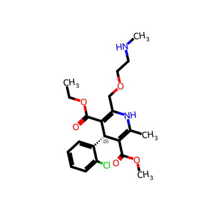 CCOC(=O)C1=C(COCCNC)NC(C)=C(C(=O)OC)[C@@H]1c1ccccc1Cl